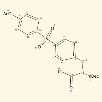 CCCCCCCCCCC(Oc1ccc(S(=O)(=O)c2ccc(OC(C)=O)cc2)cc1)C(=O)Cl